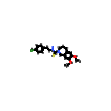 COc1cc2c(cc1OC)CN(C(=S)NCCc1ccc(Cl)cc1)CCC2